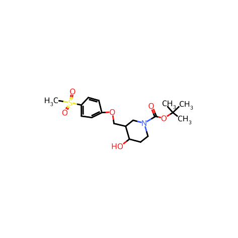 CC(C)(C)OC(=O)N1CCC(O)C(COc2ccc(S(C)(=O)=O)cc2)C1